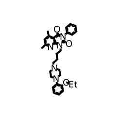 CCOc1ccccc1N1CCN(CCCCn2c(=O)n(-c3ccccc3)c(=O)c3c(C)cc(C)nc32)CC1